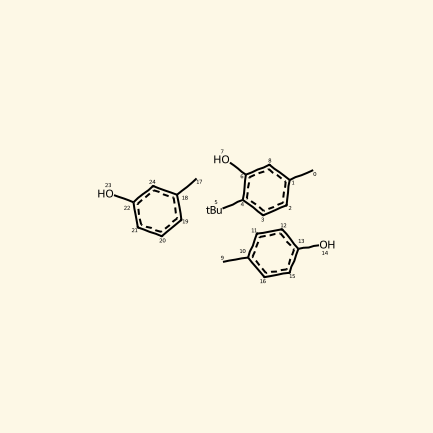 Cc1ccc(C(C)(C)C)c(O)c1.Cc1ccc(O)cc1.Cc1cccc(O)c1